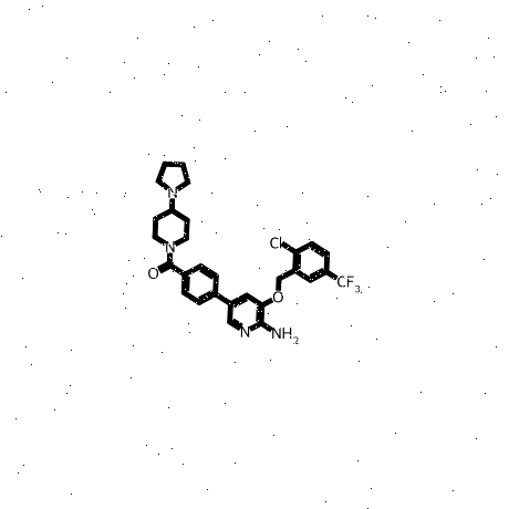 Nc1ncc(-c2ccc(C(=O)N3CCC(N4CCCC4)CC3)cc2)cc1OCc1cc(C(F)(F)F)ccc1Cl